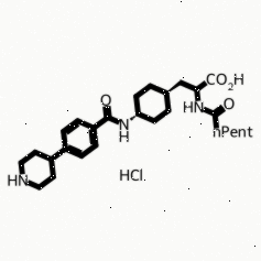 CCCCCC(=O)NC(C[C@H]1CC[C@H](NC(=O)c2ccc(C3CCNCC3)cc2)CC1)C(=O)O.Cl